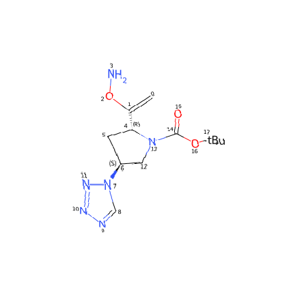 C=C(ON)[C@H]1C[C@H](n2cnnn2)CN1C(=O)OC(C)(C)C